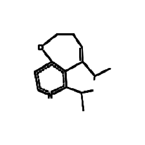 CC(C)C1=CCCOc2ccnc(C(C)C)c21